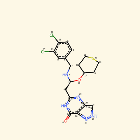 O=c1[nH]c(C[C@@H](NCc2ccc(Cl)c(Cl)c2)OC2CCSCC2)nc2c[nH]nc12